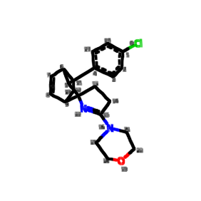 Clc1ccc(C2C3C=CC(CC3)C23CCC(N2CCOCC2)=N3)cc1